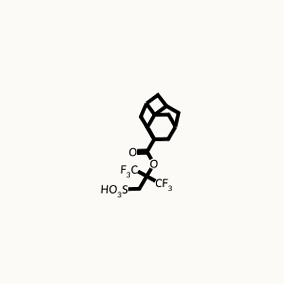 O=C(OC(CS(=O)(=O)O)(C(F)(F)F)C(F)(F)F)C12CC3CC4CC(C1)C4(C3)C2